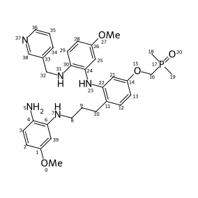 COc1ccc(N)c(NCCCc2ccc(OCP(C)(C)=O)cc2Nc2cc(OC)ccc2NCc2cccnc2)c1